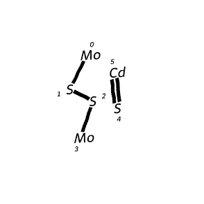 [Mo][S][S][Mo].[S]=[Cd]